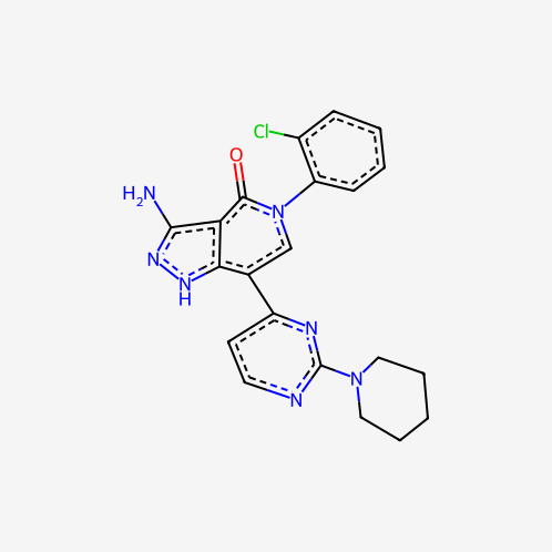 Nc1n[nH]c2c(-c3ccnc(N4CCCCC4)n3)cn(-c3ccccc3Cl)c(=O)c12